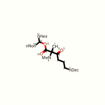 CCCCCCCCCCCCCC(=O)C(C)(NC)C(=O)OC(CCCCCC)CCCCCCCCC